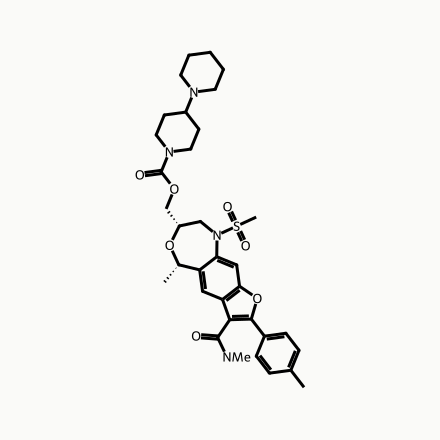 CNC(=O)c1c(-c2ccc(C)cc2)oc2cc3c(cc12)[C@H](C)O[C@H](COC(=O)N1CCC(N2CCCCC2)CC1)CN3S(C)(=O)=O